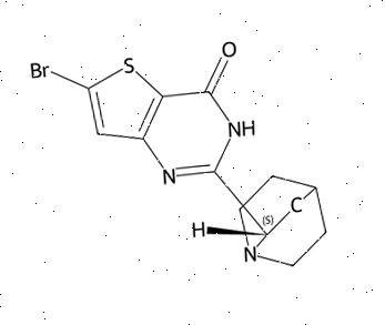 O=c1[nH]c([C@@H]2CC3CCN2CC3)nc2cc(Br)sc12